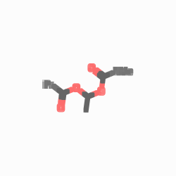 CNC(=O)OC(C)OC(=O)C(C)C